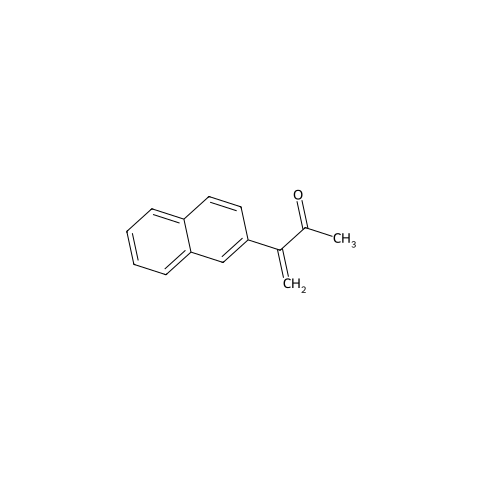 C=C(C(C)=O)c1ccc2ccccc2c1